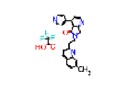 Cc1ccc2ccc(CCN3Cc4nccc(-c5ccncc5)c4C3=O)nc2c1.O=C(O)C(F)(F)F